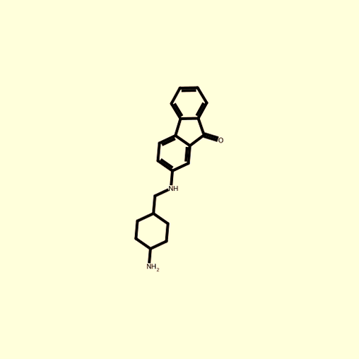 NC1CCC(CNc2ccc3c(c2)C(=O)c2ccccc2-3)CC1